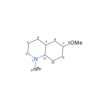 CCCN1CCCC2CC(OC)CCC21